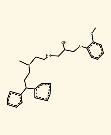 COc1ccccc1OCC(O)CNCCN(C)CCC(c1ccccc1)c1ccccc1